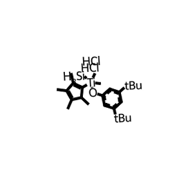 CC1=C(C)C(C)[C]([Ti]([CH3])([CH3])([SiH3])[O]c2cc(C(C)(C)C)cc(C(C)(C)C)c2)=C1C.Cl.Cl